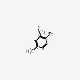 [CH2]Cc1ccc(C)cc1C